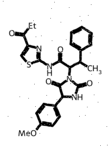 CCC(=O)c1csc(NC(=O)C(C(C)c2ccccc2)N2C(=O)NC(c3ccc(OC)cc3)C2=O)n1